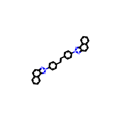 C(=C\c1ccc(-n2nc3ccc4ccccc4c3n2)cc1)/c1ccc(-n2nc3ccc4ccccc4c3n2)cc1